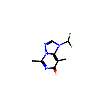 Cc1c(=O)nc(C)n2ncn(C(F)F)c12